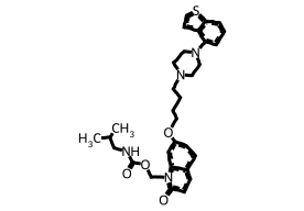 CC(C)CNC(=O)OCn1c(=O)ccc2ccc(OCCCCN3CCN(c4cccc5sccc45)CC3)cc21